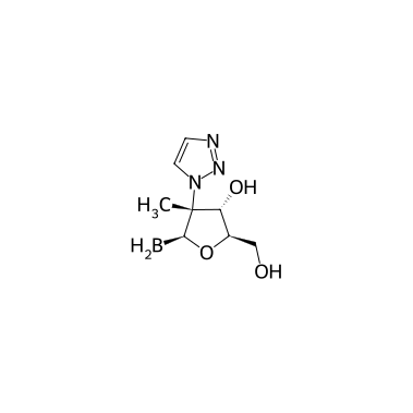 B[C@@H]1O[C@H](CO)[C@@H](O)[C@@]1(C)n1ccnn1